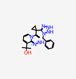 C=C(n1cccc(C(C)(C)O)/c1=N/N)C1(C2=NNNN2Cc2ccccc2)CC1